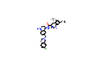 Cc1cc(C)c(CC(N)C(=O)NC2CCNc3ccc(CN4CCc5ccc(F)cc5C4)cc32)c(C)c1